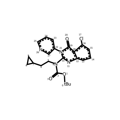 CC(C)(C)OC(=O)N(CCC1CC1)c1nc2cccc(Cl)c2c(=O)n1-c1cccnc1